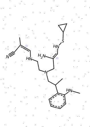 CNc1ccccc1C(C)CN(CCN/C=C(/C)C#N)C/C(N)=C/NSC1CC1